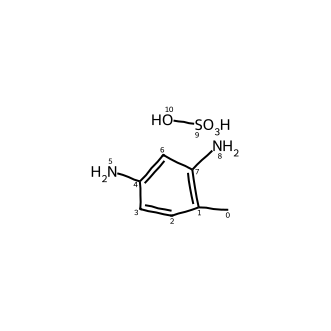 Cc1ccc(N)cc1N.O=S(=O)(O)O